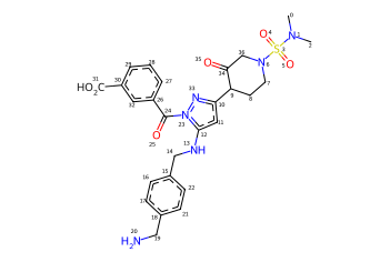 CN(C)S(=O)(=O)N1CCC(c2cc(NCc3ccc(CN)cc3)n(C(=O)c3cccc(C(=O)O)c3)n2)C(=O)C1